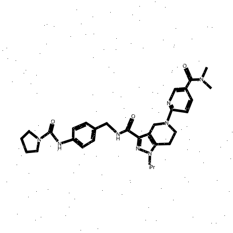 CC(C)n1nc(C(=O)NCc2ccc(NC(=O)N3CCCC3)cc2)c2c1CCN(c1ccc(C(=O)N(C)C)cn1)C2